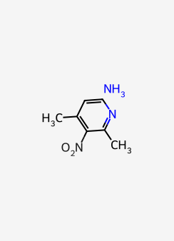 Cc1ccnc(C)c1[N+](=O)[O-].N